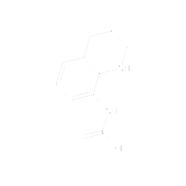 O=C(Nc1cccc2c1NCCC2)C(F)(F)F